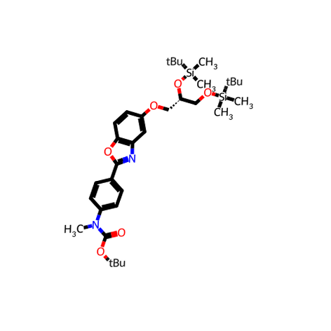 CN(C(=O)OC(C)(C)C)c1ccc(-c2nc3cc(OC[C@@H](CO[Si](C)(C)C(C)(C)C)O[Si](C)(C)C(C)(C)C)ccc3o2)cc1